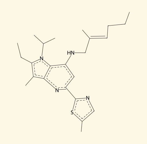 CCC/C=C(\C)CNc1cc(-c2ncc(C)s2)nc2c(C)c(CC)n(C(C)C)c12